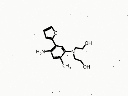 Cc1cc(N)c(-c2ccco2)cc1N(CCO)CCO